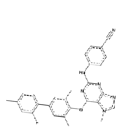 Cc1ccc(-c2cc(C)c(Oc3nc(Nc4ccc(C#N)cc4)nc4ncn(C)c34)c(C)c2)c(F)c1